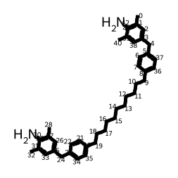 Cc1cc(Cc2ccc(CCCCCCCCCCCc3ccc(Cc4cc(C)c(N)c(C)c4)cc3)cc2)cc(C)c1N